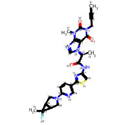 CC#CCn1c(=O)c2c(ncn2[C@@H](C)C(=O)Nc2csc(-c3ccc(N4CC5C(C4)C5(C)F)nc3)n2)n(C)c1=O